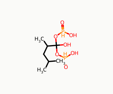 CC(C)CC(C)C(O)(O[PH](=O)O)O[PH](=O)O